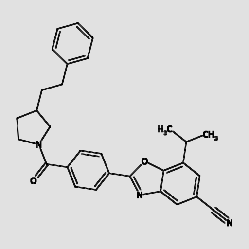 CC(C)c1cc(C#N)cc2nc(-c3ccc(C(=O)N4CCC(CCc5ccccc5)C4)cc3)oc12